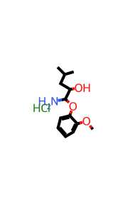 COc1ccccc1OC(N)C(O)CC(C)C.Cl